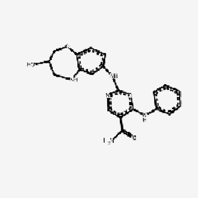 NC(=O)c1cnc(Nc2ccc3c(c2)NCC(O)CO3)nc1Nc1ccccc1